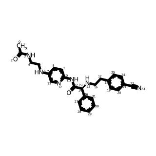 CC(=O)NCCNc1ccc(NC(=O)[C@@H](NCCc2ccc(C#N)cc2)c2ccccc2)nc1